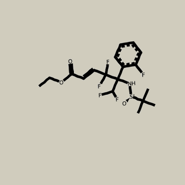 CCOC(=O)C=CC(F)(F)C(N[S@+]([O-])C(C)(C)C)(c1ccccc1F)C(F)F